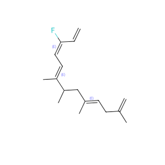 C=C/C(F)=C\C=C(/C)C(C)C/C(C)=C/CC(=C)C